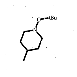 [CH2]C1CCN(OC(C)(C)C)CC1